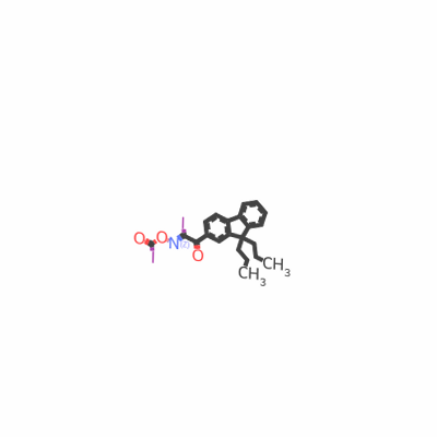 CCCC1(CCC)c2ccccc2-c2ccc(C(=O)/C(I)=N/OC(=O)I)cc21